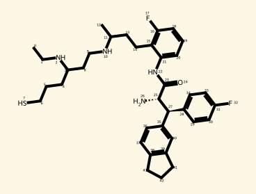 CCNC(CCCS)CCNC(C)CCc1c(F)cccc1NC(=O)[C@@H](N)[C@@H](c1ccc(F)cc1)c1ccc2c(c1)CCC2